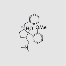 COc1ccccc1C1(O)/C(=C\c2ccccc2)CCC1CN(C)C